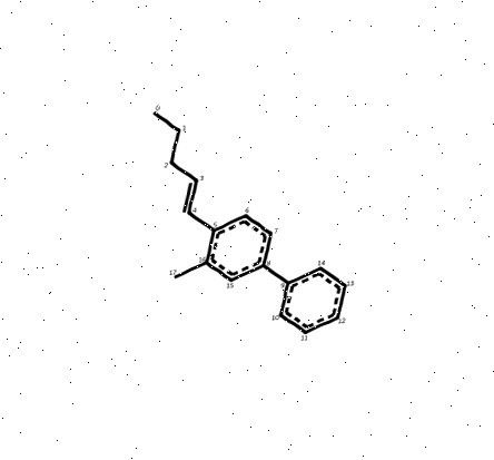 CCC/C=C/c1ccc(-c2ccccc2)cc1C